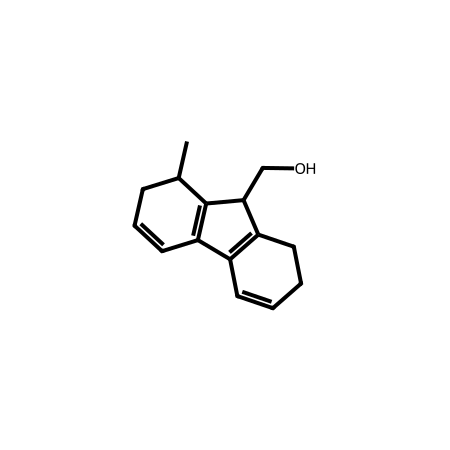 CC1CC=CC2=C1C(CO)C1=C2C=CCC1